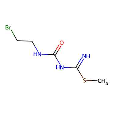 CSC(=N)NC(=O)NCCBr